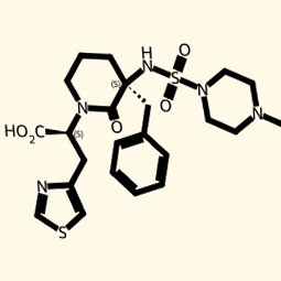 CN1CCN(S(=O)(=O)N[C@]2(Cc3ccccc3)CCCN([C@@H](Cc3cscn3)C(=O)O)C2=O)CC1